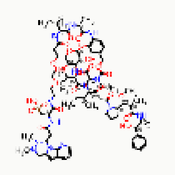 CC[C@H](C)[C@@H]([C@@H](CC(=O)N1CCC[C@H]1[C@H](OC)[C@@H](C)C(=O)N[C@H](C)[C@@H](O)c1ccccc1)OC)N(C)C(=O)[C@@H](NC(=O)[C@H](C(C)C)N(C)C(=O)OCc1ccc(NC(=O)[C@H](C)NC(=O)[C@@H](NC(=O)CCOCCOCCNC(=O)[C@H](CS(=O)(=O)O)NC(=O)CCn2c(CN(C)NC)cc3cccnc32)C(C)C)c(O[C@@H]2OC[C@H](O)[C@H](O)[C@H]2O)c1)C(C)C